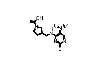 O=C(O)N1CCC(CNc2nc(Cl)ncc2[N+](=O)[O-])C1